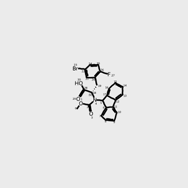 COC(=O)N(C1c2ccccc2-c2ccccc21)[C@@H](Cc1cc(Br)ccc1F)C(=O)O